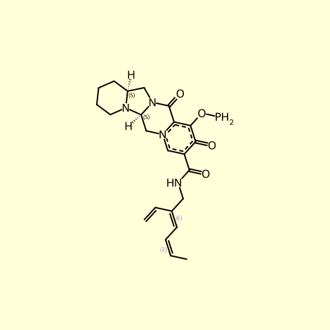 C=C/C(=C\C=C/C)CNC(=O)c1cn2c(c(OP)c1=O)C(=O)N1C[C@@H]3CCCCN3[C@@H]1C2